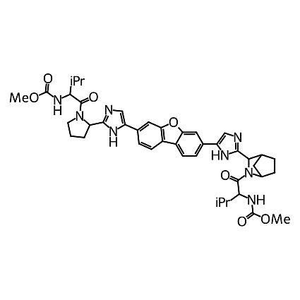 COC(=O)NC(C(=O)N1CCCC1c1ncc(-c2ccc3c(c2)oc2cc(-c4cnc(C5C6CCC(C6)N5C(=O)C(NC(=O)OC)C(C)C)[nH]4)ccc23)[nH]1)C(C)C